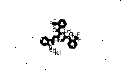 CN1C(C(=O)c2ccccc2C(F)(F)F)CNC(Cc2cn(C)c3ccccc23)C1C(=O)c1ccccc1C(F)(F)F.Cl